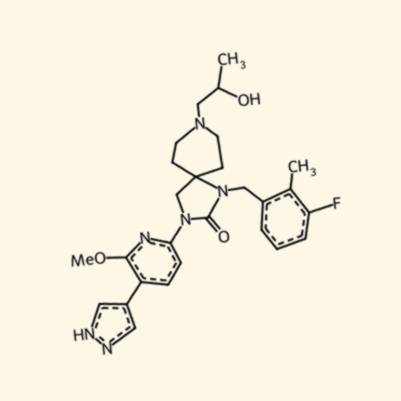 COc1nc(N2CC3(CCN(CC(C)O)CC3)N(Cc3cccc(F)c3C)C2=O)ccc1-c1cn[nH]c1